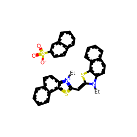 CCN1C(=Cc2sc3c4ccccc4ccc3[n+]2CC)Sc2c1ccc1ccccc21.O=S(=O)([O-])c1ccc2ccccc2c1